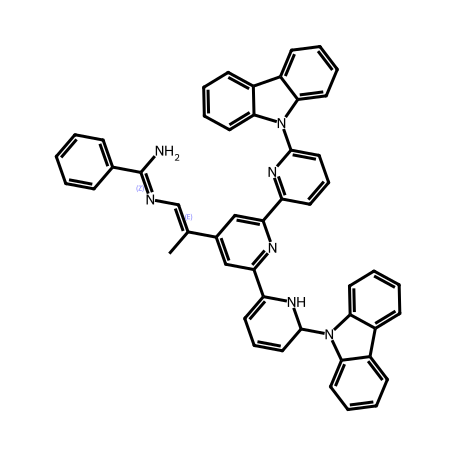 C/C(=C\N=C(/N)c1ccccc1)c1cc(C2=CC=CC(n3c4ccccc4c4ccccc43)N2)nc(-c2cccc(-n3c4ccccc4c4ccccc43)n2)c1